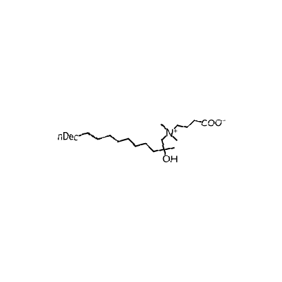 CCCCCCCCCCCCCCCCCCC(C)(O)C[N+](C)(C)CCCC(=O)[O-]